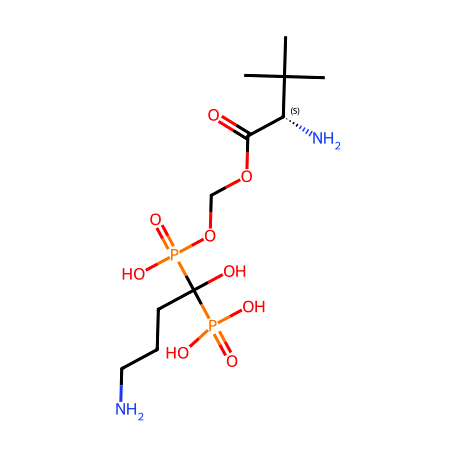 CC(C)(C)[C@H](N)C(=O)OCOP(=O)(O)C(O)(CCCN)P(=O)(O)O